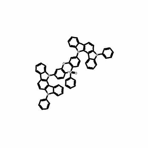 O=[SH]1(c2ccccc2)c2ccc(-n3c4ccccc4c4ccc5c(c6ccccc6n5-c5ccccc5)c43)cc2Oc2cc(-n3c4ccccc4c4ccc5c(c6ccccc6n5-c5ccccc5)c43)ccc21